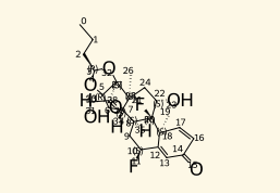 CCC[C@@H]1O[C@@H]2C[C@H]3[C@@H]4C[C@H](F)C5=CC(=O)C=C[C@]5(C)[C@@]4(F)[C@@H](O)C[C@]3(C)[C@]2(C(=O)CO)O1